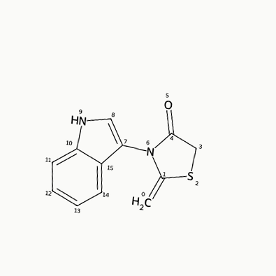 C=C1SCC(=O)N1c1c[nH]c2ccccc12